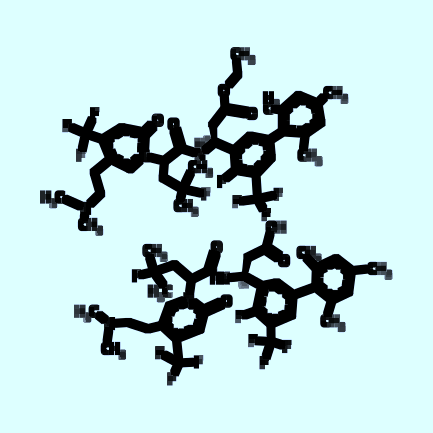 CCOC(=O)C[C@H](NC(=O)C(CC(C)(C)F)n1cc(CCN(C)C)c(C(F)(F)F)cc1=O)c1cc(-c2c(C)cc(C)cc2C)cc(C(F)(F)F)c1F.Cc1cc(C)c(-c2cc([C@H](CC(=O)O)NC(=O)C(CC(C)(C)F)n3cc(CCN(C)C)c(C(F)(F)F)cc3=O)c(F)c(C(F)(F)F)c2)c(C)c1